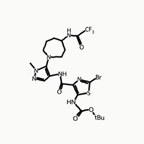 Cn1ncc(NC(=O)c2nc(Br)sc2NC(=O)OC(C)(C)C)c1N1CCCC(NC(=O)C(F)(F)F)CC1